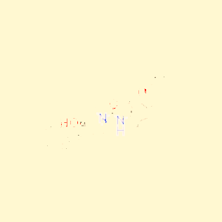 O=C(Nc1cccc(OC2CCCC2)c1)N1CCC(O)(CC2CCCC2)CC1